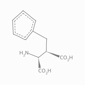 N[C@H](C(=O)O)[C@@H](Cc1ccccc1)C(=O)O